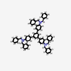 C1=C(c2cc(-c3ccc(N(Cc4ccccc4)Cc4ccccc4)cc3)cc(-c3ccc(N(Cc4ccccc4)Cc4ccccc4)cc3)c2)CCC(N(Cc2ccccc2)Cc2ccccc2)=C1